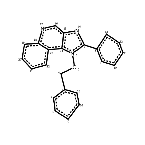 c1ccc(COn2c(-c3ccccc3)nc3cnc4ccccc4c32)cc1